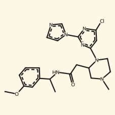 COc1cccc(C(C)NC(=O)CC2CN(C)CCN2c2cc(Cl)nc(-n3ccnc3)n2)c1